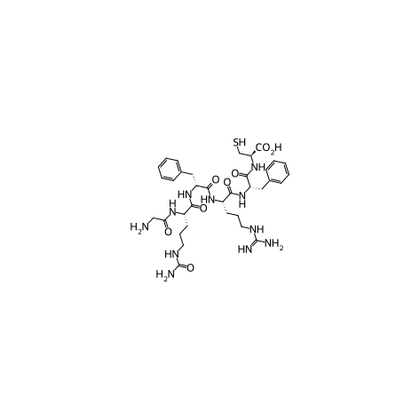 N=C(N)NCCC[C@H](NC(=O)[C@@H](Cc1ccccc1)NC(=O)[C@H](CCCNC(N)=O)NC(=O)CN)C(=O)N[C@@H](Cc1ccccc1)C(=O)N[C@@H](CS)C(=O)O